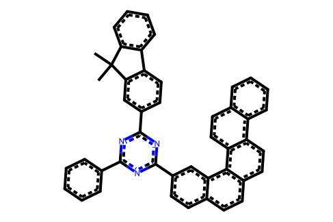 CC1(C)c2ccccc2-c2ccc(-c3nc(-c4ccccc4)nc(-c4ccc5ccc6ccc7c8ccccc8ccc7c6c5c4)n3)cc21